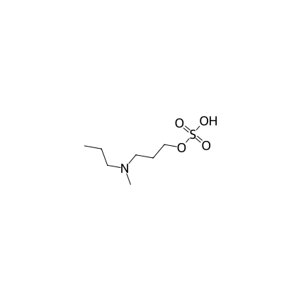 CCCN(C)CCCOS(=O)(=O)O